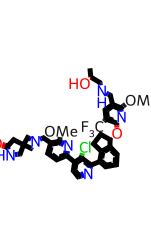 COc1nc(-c2ccnc(-c3cccc4c3CC[C@H]4Oc3nc(OC)c(CNCC(C)O)cc3C(F)(F)F)c2Cl)ccc1CN1CC2(CNC(=O)C2)C1